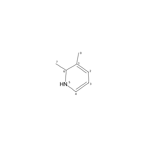 CC1=CC=CNC1C